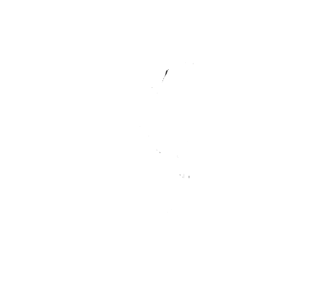 Cc1cn([C@@H]2CC[C@@H](CO)S2)c(=O)[nH]c1=O